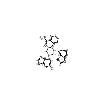 NC(=O)c1ccccc1N1CCN(c2cc(Cl)nc3[nH]cnc23)CC1.c1cnc2nc[nH]c2c1